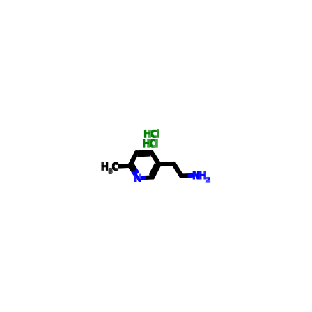 Cc1ccc(CCN)cn1.Cl.Cl